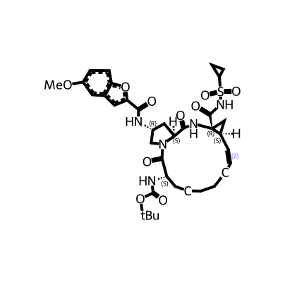 COc1ccc2oc(C(=O)N[C@@H]3C[C@H]4C(=O)N[C@]5(C(=O)NS(=O)(=O)C6CC6)C[C@H]5/C=C\CCCCC[C@H](NC(=O)OC(C)(C)C)C(=O)N4C3)cc2c1